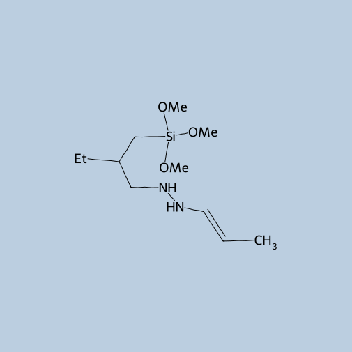 CC=CNNCC(CC)C[Si](OC)(OC)OC